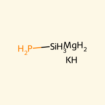 [KH].[MgH2].[SiH3]P